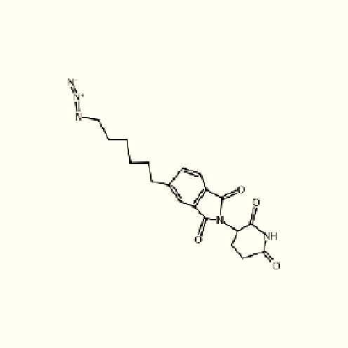 [N-]=[N+]=NCCCCCCc1ccc2c(c1)C(=O)N(C1CCC(=O)NC1=O)C2=O